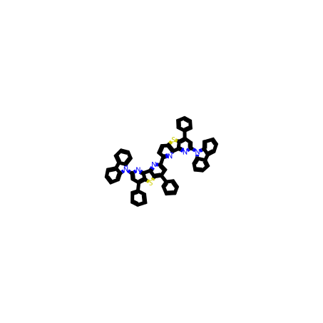 c1ccc(-c2cc(-n3c4ccccc4c4ccccc43)nc3c2sc2ccc(-c4cc(-c5ccccc5)c5sc6c(-c7ccccc7)cc(-n7c8ccccc8c8ccccc87)nc6c5n4)nc23)cc1